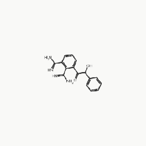 N=C(N)c1cccc(C(=O)C(O)c2ccccc2)c1C(=N)N